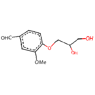 COc1cc(C=O)ccc1OCC(O)CO